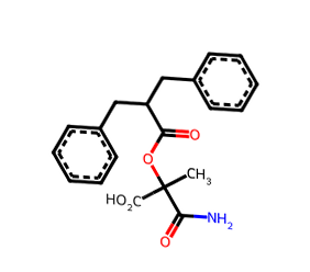 CC(OC(=O)C(Cc1ccccc1)Cc1ccccc1)(C(N)=O)C(=O)O